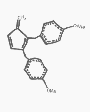 C=C1C=CC(c2ccc(OC)cc2)=C1c1ccc(OC)cc1